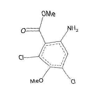 COC(=O)c1c(N)cc(Cl)c(OC)c1Cl